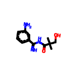 CC(C)(CO)C(=O)NC(=N)c1cccc(N)c1